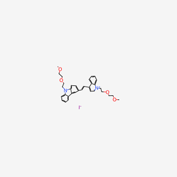 COCCOCCn1c2ccccc2c2cc(/C=C/c3cc[n+](CCOCCOC)c4ccccc34)ccc21.[I-]